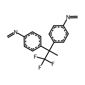 C=Nc1ccc(C(C)(c2ccc(N=C)cc2)C(F)(F)F)cc1